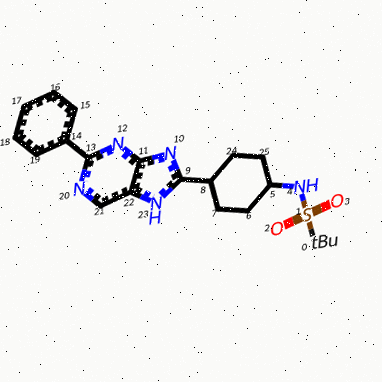 CC(C)(C)S(=O)(=O)NC1CCC(c2nc3nc(-c4ccccc4)ncc3[nH]2)CC1